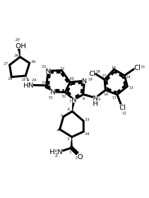 NC(=O)[C@H]1CC[C@@H](n2c(Nc3c(Cl)cc(Cl)cc3Cl)nc3cnc(N[C@@H]4CC[C@@H](O)C4)nc32)CC1